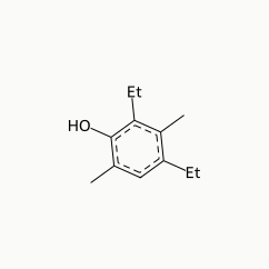 CCc1cc(C)c(O)c(CC)c1C